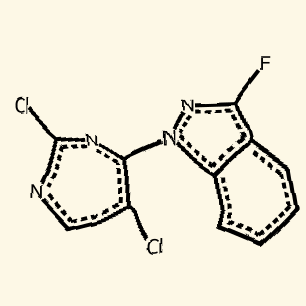 Fc1nn(-c2nc(Cl)ncc2Cl)c2ccccc12